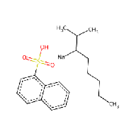 CCCCC[CH]([Na])C(C)C.O=S(=O)(O)c1cccc2ccccc12